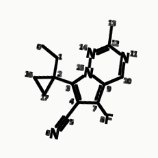 CCC1(c2c(C#N)c(F)c3cnc(C)nn23)CC1